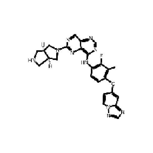 Cc1c(Oc2ccn3ncnc3c2)ccc(Nc2ncnc3cnc(N4C[C@H]5CNC[C@H]5C4)nc23)c1F